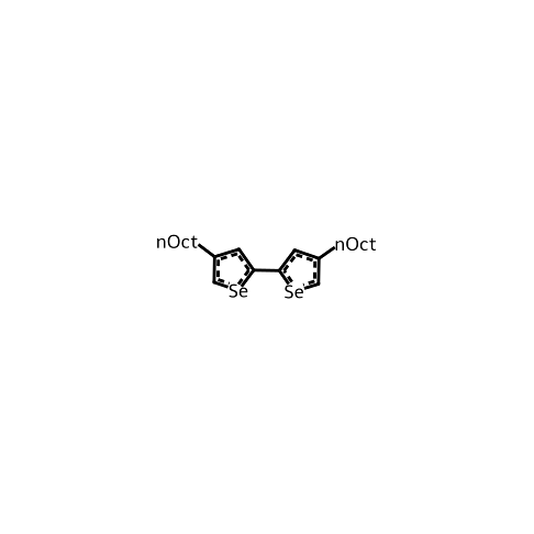 CCCCCCCCc1c[se]c(-c2cc(CCCCCCCC)c[se]2)c1